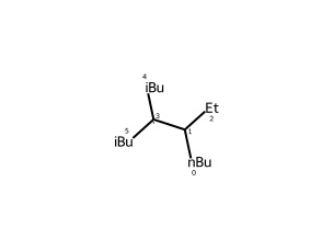 CCCCC(CC)[C](C(C)CC)C(C)CC